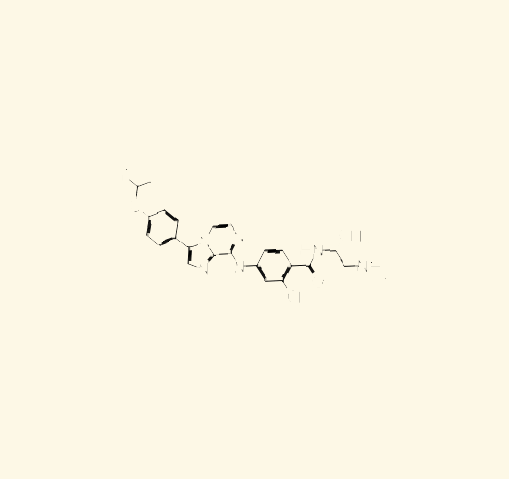 Cc1cc(Nc2nccn3c(-c4ccc(OC(F)F)cc4)cnc23)ccc1C(=O)N[C@H](C)CN